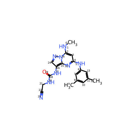 CNc1cc(Nc2cc(C)cc(C)c2)nc2c(NC(=O)NCC#N)cnn12